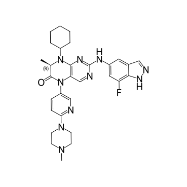 C[C@@H]1C(=O)N(c2ccc(N3CCN(C)CC3)nc2)c2cnc(Nc3cc(F)c4[nH]ncc4c3)nc2N1C1CCCCC1